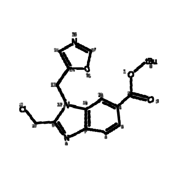 CC(C)(C)OC(=O)c1ccc2nc(CCl)n(Cc3cnco3)c2c1